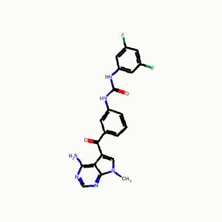 Cn1cc(C(=O)c2cccc(NC(=O)Nc3cc(F)cc(F)c3)c2)c2c(N)ncnc21